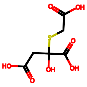 O=C(O)CSC(O)(CC(=O)O)C(=O)O